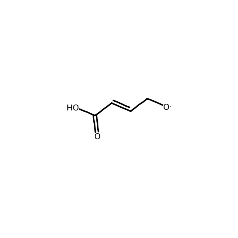 [O]CC=CC(=O)O